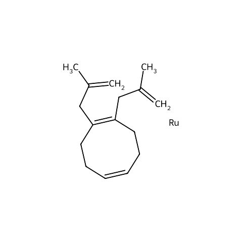 C=C(C)CC1=C(CC(=C)C)CCC=CCC1.[Ru]